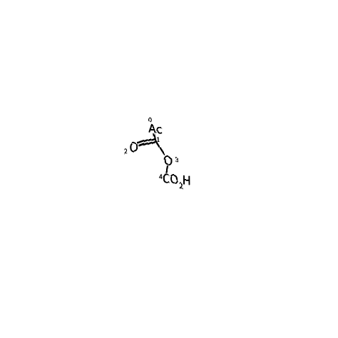 CC(=O)C(=O)OC(=O)O